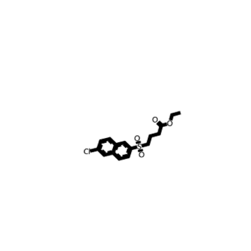 CCOC(=O)CCCS(=O)(=O)c1ccc2cc(Cl)ccc2c1